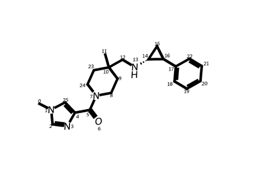 Cn1cnc(C(=O)N2CCC(C)(CN[C@@H]3CC3c3ccccc3)CC2)c1